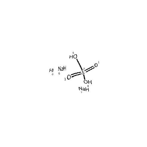 I.O=S(=O)(O)O.[NaH].[NaH]